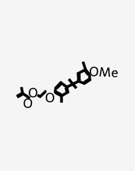 C=C(C)C(=O)OCCOc1ccc(C(C)(C)c2ccc(OC)c(C)c2)cc1C